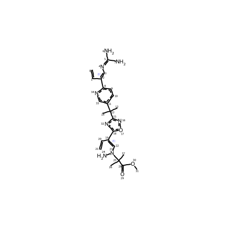 C=C/C(=C\N=C(N)N)c1ccc(C(C)(C)c2noc(/C(C=C)=C/N(N)C(C)(C)C(=O)OC)n2)cn1